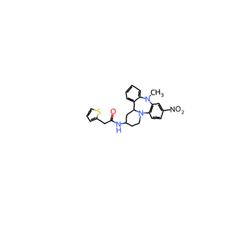 CN1c2ccccc2C2CC(NC(=O)Cc3cccs3)CCN2c2ccc([N+](=O)[O-])cc21